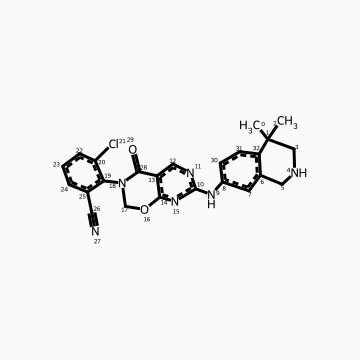 CC1(C)CNCc2cc(Nc3ncc4c(n3)OCN(c3c(Cl)cccc3C#N)C4=O)ccc21